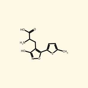 Cc1ccc(-c2onc(O)c2CC(N)C(=O)O)s1